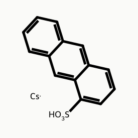 O=S(=O)(O)c1cccc2cc3ccccc3cc12.[Cs]